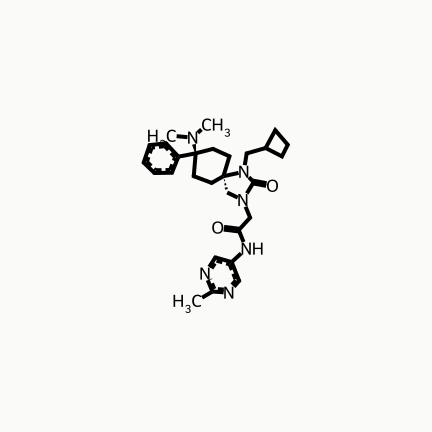 Cc1ncc(NC(=O)CN2C[C@]3(CC[C@](c4ccccc4)(N(C)C)CC3)N(CC3CCC3)C2=O)cn1